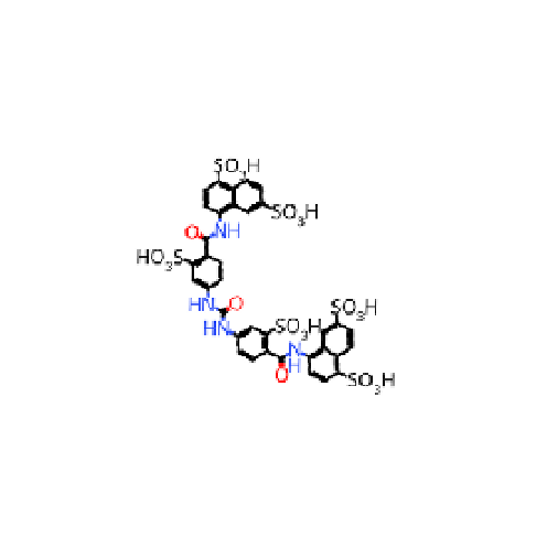 O=C(Nc1ccc(C(=O)Nc2ccc(S(=O)(=O)O)c3ccc(S(=O)(=O)O)cc23)c(S(=O)(=O)O)c1)Nc1ccc(C(=O)Nc2ccc(S(=O)(=O)O)c3ccc(S(=O)(=O)O)cc23)c(S(=O)(=O)O)c1